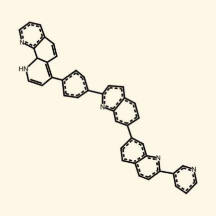 C1=CC(c2ccc(-c3ccc4ccc(-c5ccc6ccc(-c7cccnc7)nc6c5)cc4n3)cc2)=C2C=Cc3cccnc3C2N1